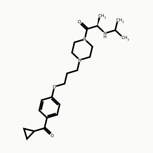 CC(C)N[C@H](C)C(=O)N1CCN(CCCOc2ccc(C(=O)C3CC3)cc2)CC1